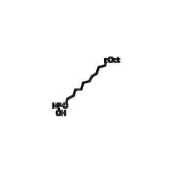 CCCCCCCCCCCCCCCCCCOPO